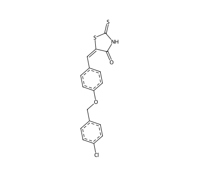 O=C1NC(=S)SC1=Cc1ccc(OCc2ccc(Cl)cc2)cc1